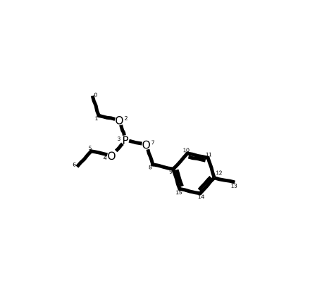 CCOP(OCC)OCc1ccc(C)cc1